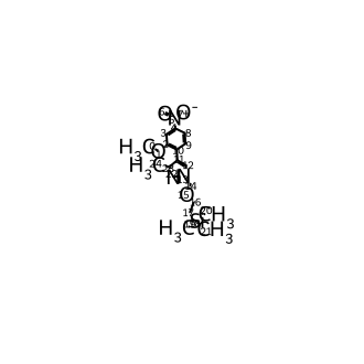 COc1cc([N+](=O)[O-])ccc1-c1cn(COCC[Si](C)(C)C)nc1C